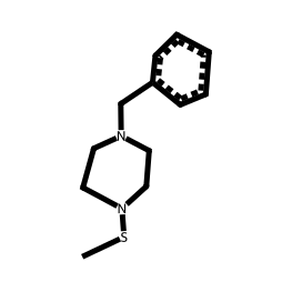 CSN1CCN(Cc2ccccc2)CC1